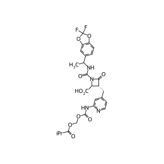 CC(C)C(=O)OCOC(=O)Nc1cc(C[C@H]2C(=O)N(C(=O)NC(C)c3ccc4c(c3)OC(F)(F)O4)C2C(=O)O)ccn1